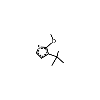 COc1sccc1C(C)(C)C